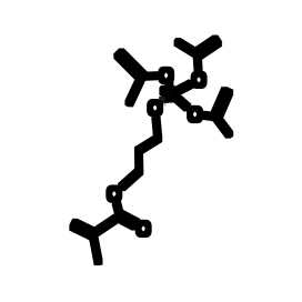 C=C(C)O[Si](OCCCOC(=O)C(=C)C)(OC(=C)C)OC(=C)C